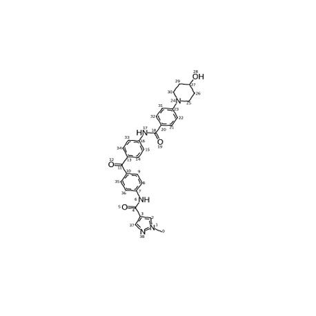 Cn1cc(C(=O)Nc2ccc(C(=O)c3ccc(NC(=O)c4ccc(N5CCC(O)CC5)cc4)cc3)cc2)cn1